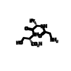 CC(C)[C@H](NC(=O)CN)C(=O)N[C@@H](CO)C(=O)O